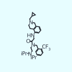 CC(C)N(CCN(Cc1ccccc1C(F)(F)F)C(=O)CNc1cccc2c1CCN(CC1CC1)C2)C(C)C